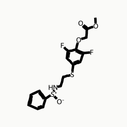 COC(=O)COc1c(F)cc(SCCN[S+]([O-])c2ccccc2)cc1F